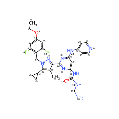 CCOc1cc(F)c(Cn2nc(-c3nc(NC(=O)NCN)cc(Nc4ccncc4)n3)c(C)c2C2CC2)c(F)c1